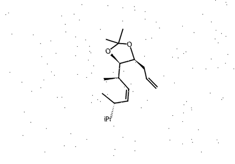 C=CC[C@@H]1OC(C)(C)O[C@@H]1[C@H](C)/C=C\[C@@H](C)C(C)C